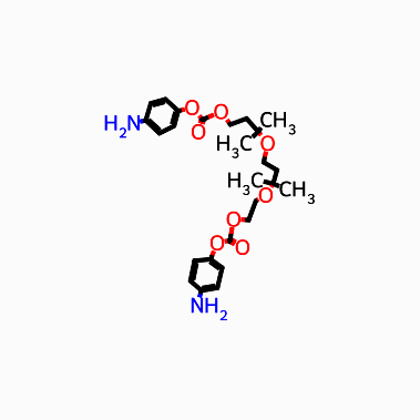 CC(C)(CCOC(=O)Oc1ccc(N)cc1)OCCC(C)(C)OCCOC(=O)Oc1ccc(N)cc1